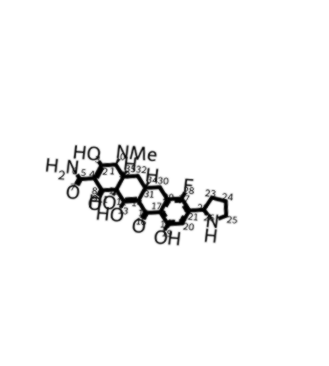 CN[C@@H]1C(O)=C(C(N)=O)C(=O)[C@@]2(O)C(O)=C3C(=O)c4c(O)cc(C5CCCN5)c(F)c4C[C@H]3C[C@@H]12